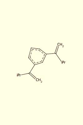 C=C(c1cccc(C(=C)C(C)C)c1)C(C)C